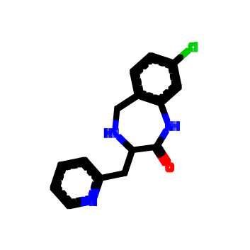 O=C1Nc2cc(Cl)ccc2CNC1Cc1ccccn1